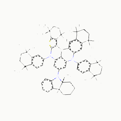 CC1(C)CCC(C)(C)c2cc(N3c4cc5c(cc4B4c6c3cc(N3c7ccccc7C7(C)CCCCC37C)cc6N(c3ccc6c(c3)C(C)(C)CCC6(C)C)c3sc6c(c34)C(C)(C)CCC6(C)C)C(C)(C)CCC5(C)C)ccc21